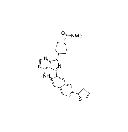 CNC(=O)C1CCC(n2nc(-c3ccc4ccc(-c5cccs5)nc4c3)c3c(N)ncnc32)CC1